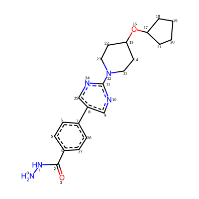 NNC(=O)c1ccc(-c2cnc(N3CCC(OC4CCCC4)CC3)nc2)cc1